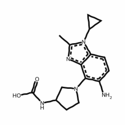 Cc1nc2c(N3CCC(NC(=O)O)C3)c(N)ccc2n1C1CC1